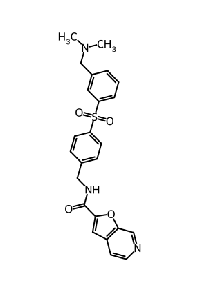 CN(C)Cc1cccc(S(=O)(=O)c2ccc(CNC(=O)c3cc4ccncc4o3)cc2)c1